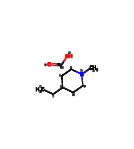 CCC1CCN(C)CC1.O=CO